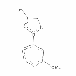 COc1cccc(-n2cc(C)cn2)c1